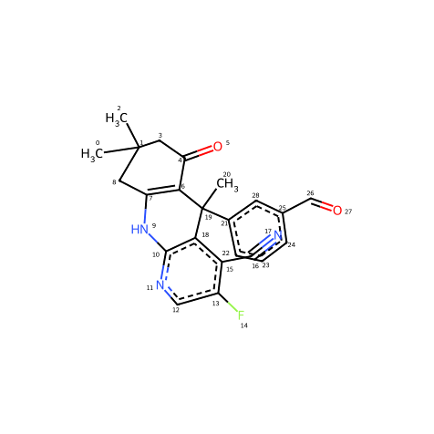 CC1(C)CC(=O)C2=C(C1)Nc1ncc(F)c(C#N)c1C2(C)c1cccc(C=O)c1